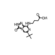 CC(C)(C)c1cn2c(=O)[nH]nc2c(NCCCC(=O)O)n1